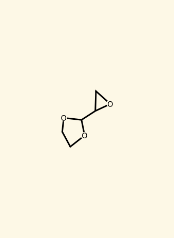 C1COC(C2CO2)O1